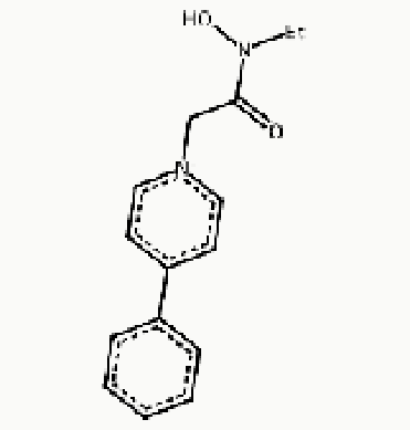 CCN(O)C(=O)C[n+]1ccc(-c2ccccc2)cc1